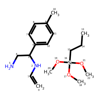 C=CNC(CN)c1ccc(C)cc1.CCC[Si](OC)(OC)OC